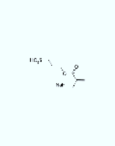 C=C(C)C(=O)OCCCS(=O)(=O)O.[NaH]